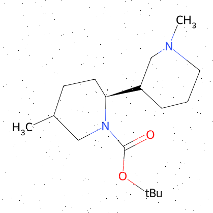 CC1CC[C@@H](C2CCCN(C)C2)N(C(=O)OC(C)(C)C)C1